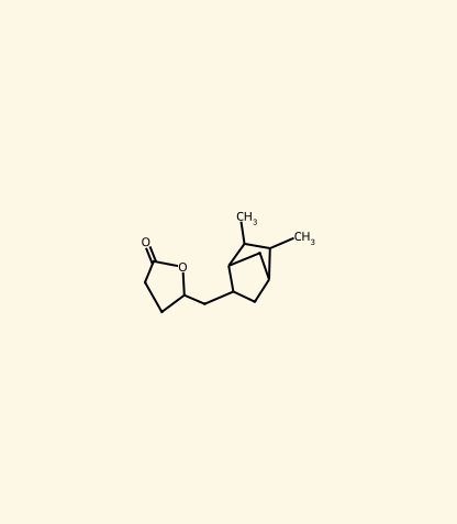 CC1C2CC(CC3CCC(=O)O3)C(C2)C1C